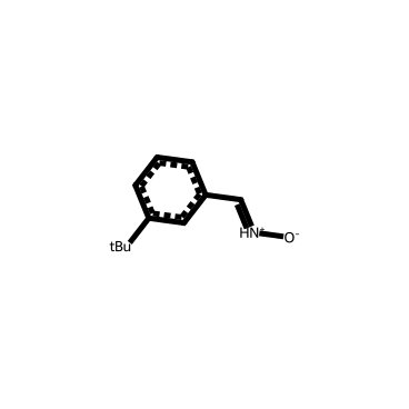 CC(C)(C)c1cccc(C=[NH+][O-])c1